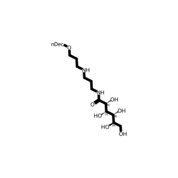 CCCCCCCCCCOCCCNCCCNC(=O)[C@H](O)[C@@H](O)[C@H](O)[C@H](O)CO